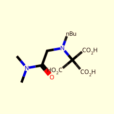 CCCCN(CC(=O)N(C)C)C(C(=O)O)(C(=O)O)C(=O)O